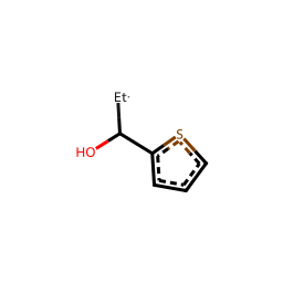 C[CH]C(O)c1cccs1